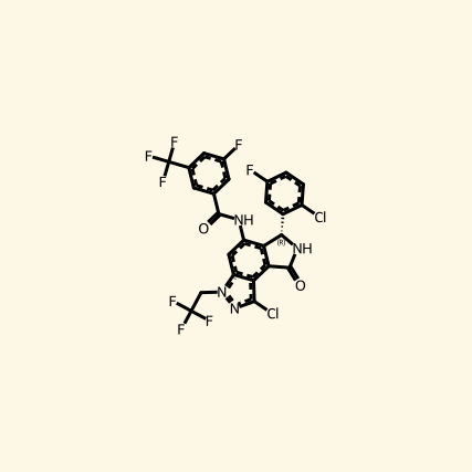 O=C(Nc1cc2c(c(Cl)nn2CC(F)(F)F)c2c1[C@H](c1cc(F)ccc1Cl)NC2=O)c1cc(F)cc(C(F)(F)F)c1